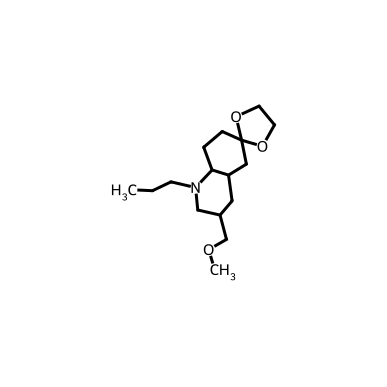 CCCN1CC(COC)CC2CC3(CCC21)OCCO3